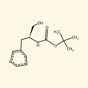 CC(C)(C)OC(=O)N[C@H](CO)Cc1cccnc1